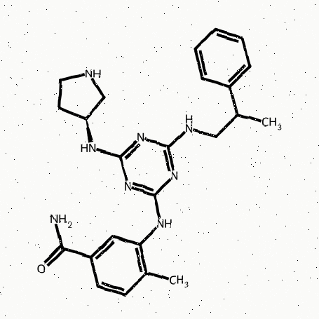 Cc1ccc(C(N)=O)cc1Nc1nc(NCC(C)c2ccccc2)nc(N[C@H]2CCNC2)n1